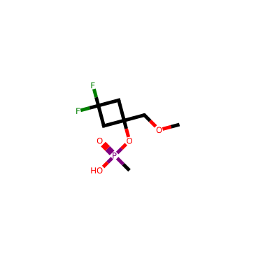 COCC1(OP(C)(=O)O)CC(F)(F)C1